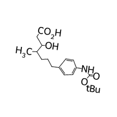 CC(CCCc1ccc(NC(=O)OC(C)(C)C)cc1)C(O)CC(=O)O